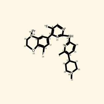 Cc1nc(Nc2ncc(F)c(-c3cc(F)c4c(c3)N(C(C)C)CCO4)n2)ccc1C1CCN(C)CC1